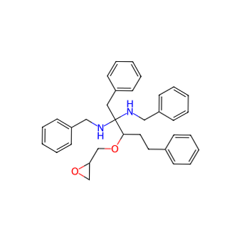 c1ccc(CCC(OCC2CO2)C(Cc2ccccc2)(NCc2ccccc2)NCc2ccccc2)cc1